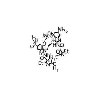 CCc1nc(C)oc1C(=O)Nc1nc2cc(N)cc(OC)c2n1C/C=C/Cn1c(NC(=O)c2oc(C)nc2CC)nc2cc(C(N)=O)cc(OCCCO)c21